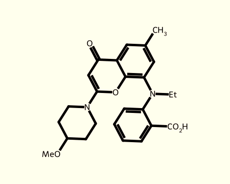 CCN(c1ccccc1C(=O)O)c1cc(C)cc2c(=O)cc(N3CCC(OC)CC3)oc12